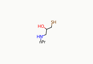 CCCNCC(O)CS